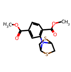 COC(=O)c1ccc(C(=O)OC)c(N2C3CSC2CS3)c1